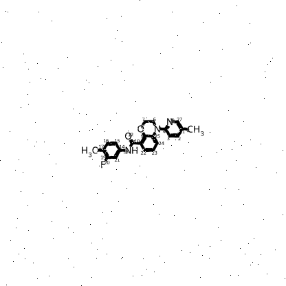 Cc1ccc(N2CCOc3c(C(=O)Nc4ccc(C)c(F)c4)cccc32)nc1